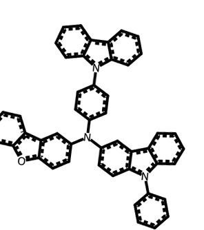 c1ccc(-n2c3ccccc3c3cc(N(c4ccc(-n5c6ccccc6c6ccccc65)cc4)c4ccc5oc6ccccc6c5c4)ccc32)cc1